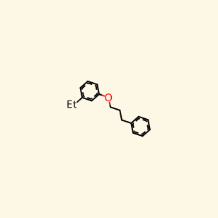 [CH2]Cc1cccc(OCCCc2ccccc2)c1